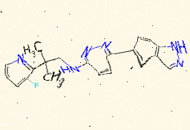 CC(C)(CNc1ccc(-c2ccc3[nH]ncc3c2)nn1)c1ncccc1F